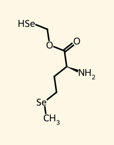 C[Se]CC[C@H](N)C(=O)OC[SeH]